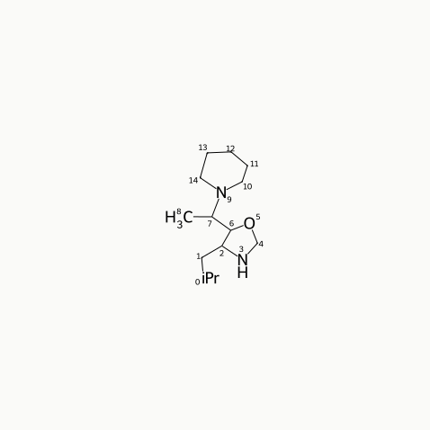 CC(C)CC1NCOC1C(C)N1CCCCC1